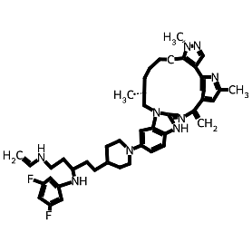 C=CNCCC(CCC1CCN(c2ccc3c(c2)N2C[C@H](C)CCCCc4c(cnn4C)-c4cc(cc(C)n4)C(=C)/N=C/2N3)CC1)Nc1cc(F)cc(F)c1